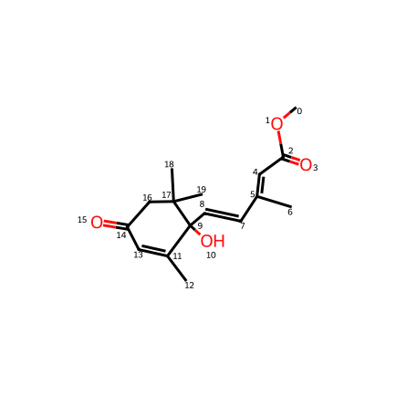 COC(=O)C=C(C)C=CC1(O)C(C)=CC(=O)CC1(C)C